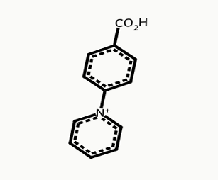 O=C(O)c1ccc(-[n+]2ccccc2)cc1